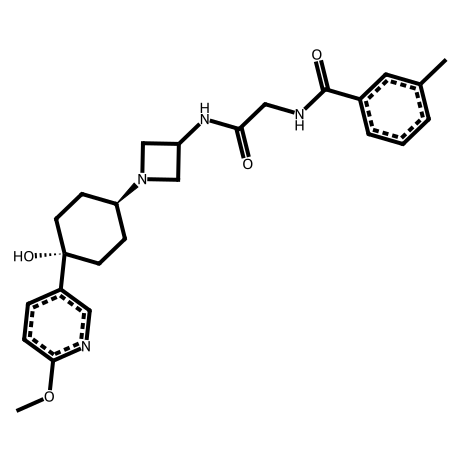 COc1ccc([C@]2(O)CC[C@H](N3CC(NC(=O)CNC(=O)c4cccc(C)c4)C3)CC2)cn1